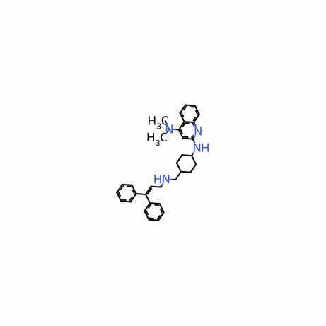 CN(C)c1cc(NC2CCC(CNCC=C(c3ccccc3)c3ccccc3)CC2)nc2ccccc12